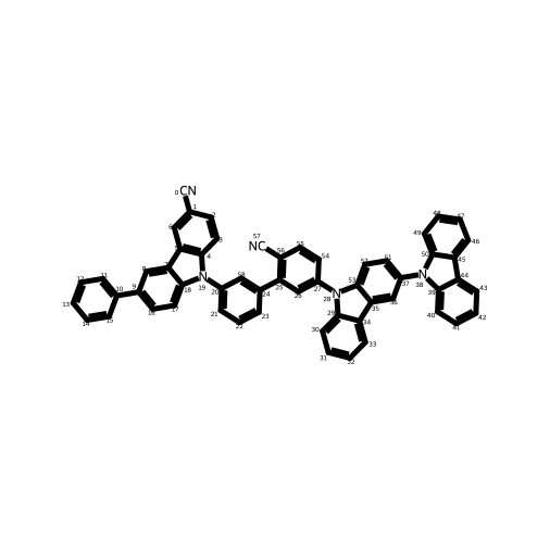 N#Cc1ccc2c(c1)c1cc(-c3ccccc3)ccc1n2-c1cccc(-c2cc(-n3c4ccccc4c4cc(-n5c6ccccc6c6ccccc65)ccc43)ccc2C#N)c1